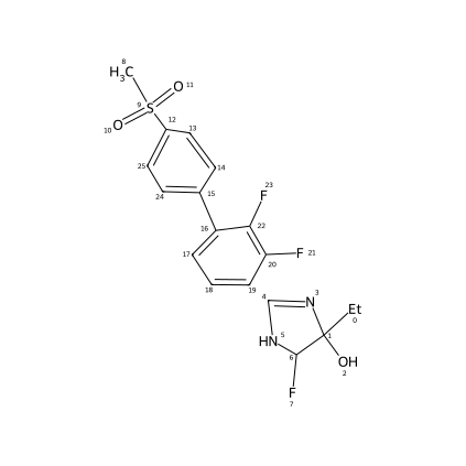 CCC1(O)N=CNC1F.CS(=O)(=O)c1ccc(-c2cccc(F)c2F)cc1